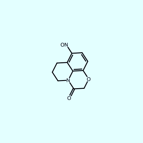 O=Nc1ccc2c3c1CCCN3C(=O)CO2